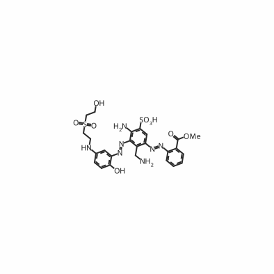 COC(=O)c1ccccc1/N=N/c1cc(S(=O)(=O)O)c(N)c(/N=N/c2cc(NCCS(=O)(=O)CCO)ccc2O)c1CN